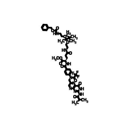 COC(=O)[C@H](CCC(=O)NCCOC(C)(OCCNC(=O)OCc1ccccc1)C(C)(C)C)NC(=O)c1ccc(N(Cc2cnc3nc(NC(=O)C(C)C)[nH]c(=O)c3n2)C(=O)C(F)(F)F)cc1